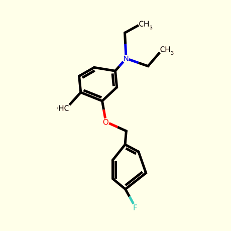 [CH]c1ccc(N(CC)CC)cc1OCc1ccc(F)cc1